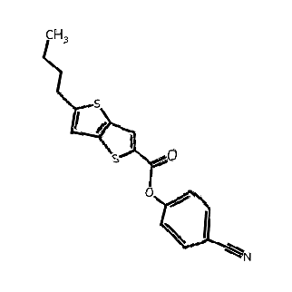 CCCCc1cc2sc(C(=O)Oc3ccc(C#N)cc3)cc2s1